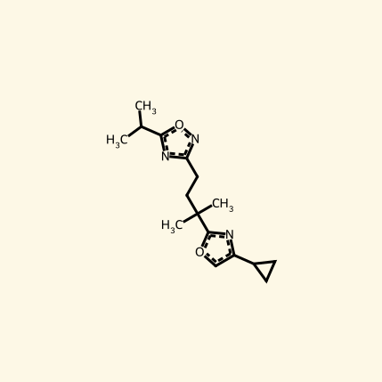 CC(C)c1nc(CCC(C)(C)c2nc(C3CC3)co2)no1